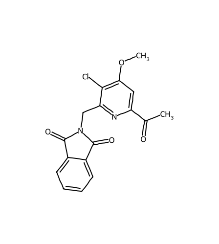 COc1cc(C(C)=O)nc(CN2C(=O)c3ccccc3C2=O)c1Cl